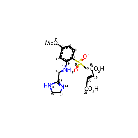 COc1ccc(S(C)(=O)=O)c(NCC2=NCCN2)c1.O=C(O)/C=C/C(=O)O